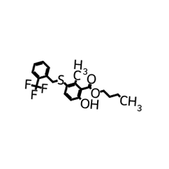 CCCCOC(=O)c1c(O)ccc(SCc2ccccc2C(F)(F)F)c1C